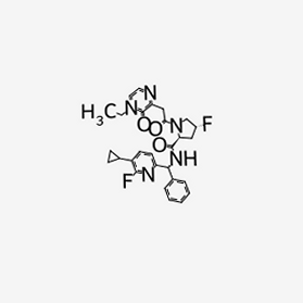 CCn1ccnc(CC(=O)N2C[C@H](F)C[C@H]2C(=O)N[C@@H](c2ccccc2)c2ccc(C3CC3)c(F)n2)c1=O